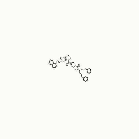 O=C(NC(CCCc1ccccc1)CCCc1ccccc1)C1CCN(C(=O)C2CCCCN2C[C@@H](O)COc2cccc3ncccc23)CC1